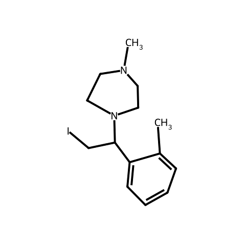 Cc1ccccc1C(CI)N1CCN(C)CC1